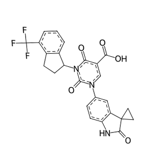 O=C(O)c1cn(-c2ccc3c(c2)C2(CC2)C(=O)N3)c(=O)n(C2CCc3c2cccc3C(F)(F)F)c1=O